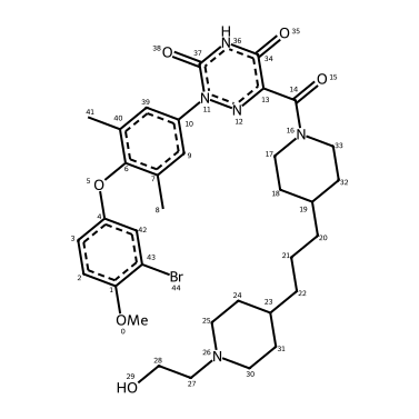 COc1ccc(Oc2c(C)cc(-n3nc(C(=O)N4CCC(CCCC5CCN(CCO)CC5)CC4)c(=O)[nH]c3=O)cc2C)cc1Br